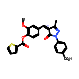 CCOc1cc(/C=C2\C(=O)N(c3ccc(C(=O)O)cc3)N=C2C)ccc1OC(=O)c1cccs1